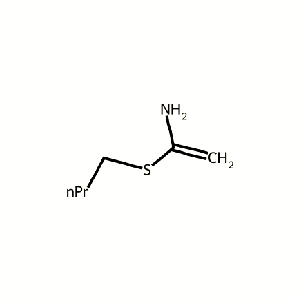 C=C(N)SCCCC